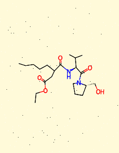 CCCCCC(CC(=O)OCC)C(=O)N[C@H](C(=O)N1CCC[C@H]1CO)C(C)C